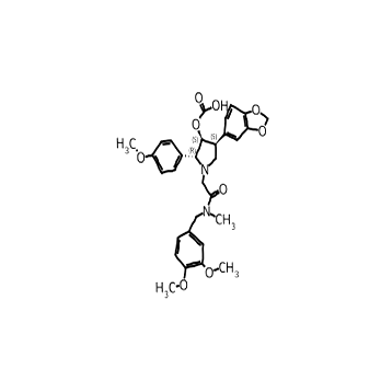 COc1ccc([C@@H]2[C@@H](OC(=O)O)[C@@H](c3ccc4c(c3)OCO4)CN2CC(=O)N(C)Cc2ccc(OC)c(OC)c2)cc1